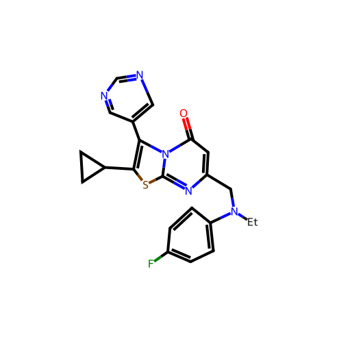 CCN(Cc1cc(=O)n2c(-c3cncnc3)c(C3CC3)sc2n1)c1ccc(F)cc1